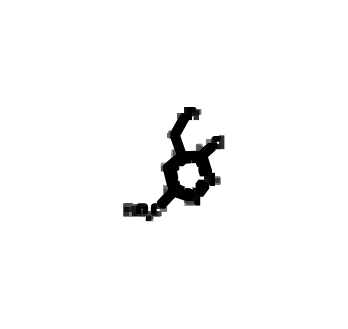 CCOC(=O)c1cc(CC(C)C)c(Cl)nn1